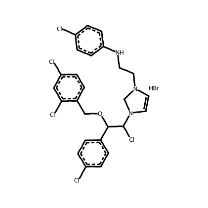 Br.Clc1ccc(NCCN2C=CN(C(Cl)C(OCc3ccc(Cl)cc3Cl)c3ccc(Cl)cc3)C2)cc1